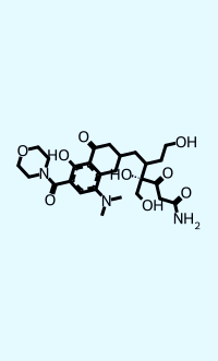 CN(C)c1cc(C(=O)N2CCOCC2)c(O)c2c1CC(CC(CCO)[C@](O)(CO)C(=O)CC(N)=O)CC2=O